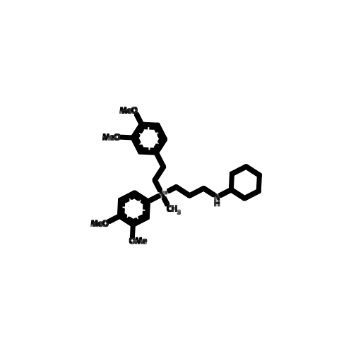 COc1ccc(CC[N+](C)(CCCNC2CCCCC2)c2ccc(OC)c(OC)c2)cc1OC